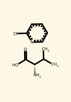 CC(C)[C@H](N)C(=O)O.Clc1ccccn1